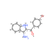 Nc1c(C(=O)c2ccc(Br)cc2)[nH]c2ccccc12